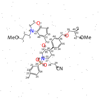 COCCCN1CCOc2ccc(CO[C@H]3CN(S(=O)(=O)c4ccc(C)cc4)[C@@H](CCC#N)C[C@@H]3c3ccc(COC[C@@H](C)COC)cc3)cc21